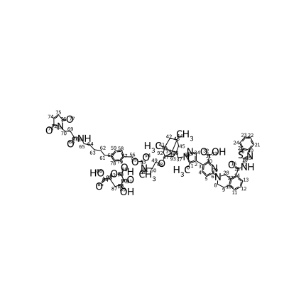 Cc1c(-c2ccc(N3CCc4cccc(C(=O)Nc5nc6ccccc6s5)c4C3)nc2C(=O)O)cnn1CC12CC3(C)CC(C)(C1)CC(OCCN(C)C(=O)OCc1ccc(CCCCCNC(=O)CCN4C(=O)C=CC4=O)cc1O[C@@H]1O[C@H](C(=O)O)C[C@H](O)[C@H]1O)(C3)C2